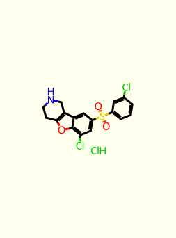 Cl.O=S(=O)(c1cccc(Cl)c1)c1cc(Cl)c2oc3c(c2c1)CNCC3